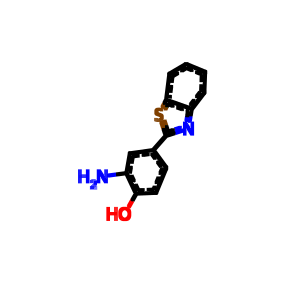 Nc1cc(-c2nc3ccccc3s2)ccc1O